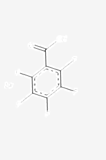 O=C(O)c1c(F)c(F)c(F)c(F)c1F.[La]